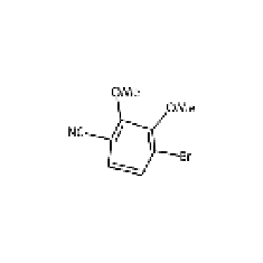 COc1c(Br)ccc(C#N)c1OC